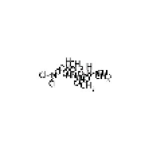 Cc1ccc(Nc2c3cccc(C)c3nc3c(C(=O)NCCN(C)C)cccc23)cc1NC(=O)Oc1ccc(N(CCCl)CCCl)cc1